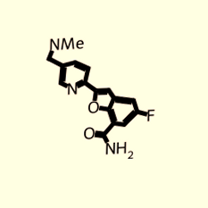 CNCc1ccc(-c2cc3cc(F)cc(C(N)=O)c3o2)nc1